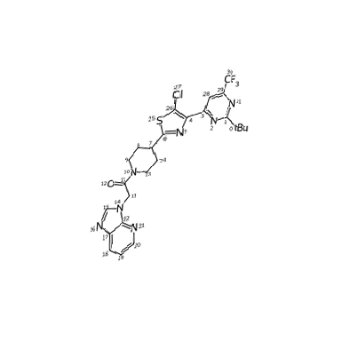 CC(C)(C)c1nc(-c2nc(C3CCN(C(=O)Cn4cnc5cccnc54)CC3)sc2Cl)cc(C(F)(F)F)n1